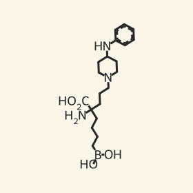 NC(CCCCB(O)O)(CCCN1CCC(Nc2ccccc2)CC1)C(=O)O